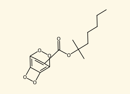 CCCCCC(C)(C)OC(=O)c1cc2c3ooc3c1OO2